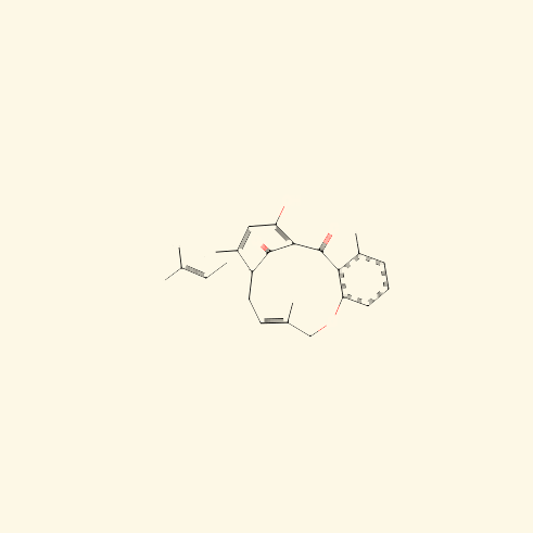 CC(C)=CC[C@]12C/C=C(\C)COc3cccc(C=O)c3C(=O)C(=C(O)C=C1C)C2=O